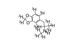 [2H]c1c([2H])c2c(c([2H])c1CC([2H])(N([2H])C([2H])([2H])[2H])C([2H])([2H])[2H])OC([2H])([2H])O2